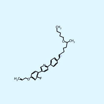 C=CCOc1ccc(-c2ccc(-c3ccc(/C=C/CCCC(C)OCCCCC)cc3)nc2)c(F)c1